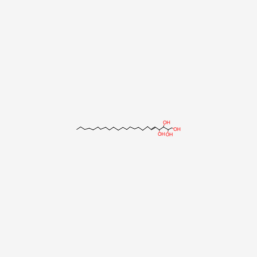 CCCCCCCCCCCCCCCCCCC=CC(O)C(O)C(O)CO